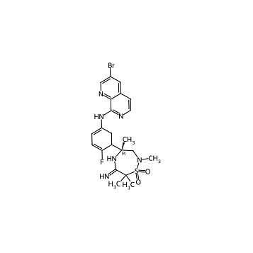 CN1C[C@@](C)(C2CC(Nc3nccc4cc(Br)cnc34)=CC=C2F)NC(=N)C(C)(C)S1(=O)=O